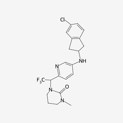 CN1CCCN(C(c2ccc(NC3Cc4ccc(Cl)cc4C3)cn2)C(F)(F)F)C1=O